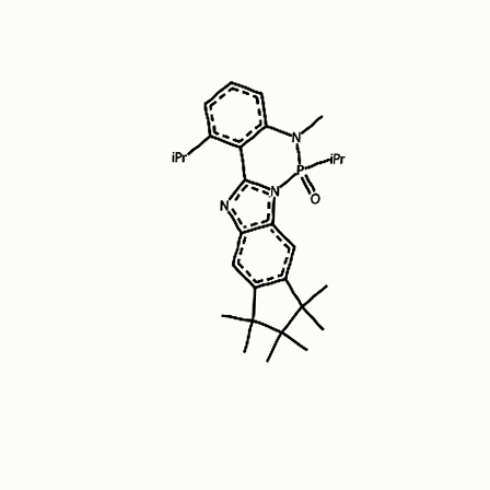 CC(C)c1cccc2c1-c1nc3cc4c(cc3n1P(=O)(C(C)C)N2C)C(C)(C)C(C)(C)C4(C)C